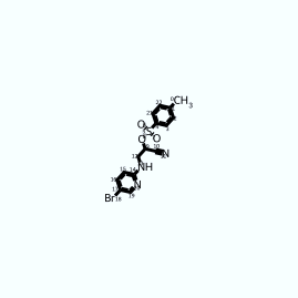 Cc1ccc(S(=O)(=O)OC(C#N)CNc2ccc(Br)cn2)cc1